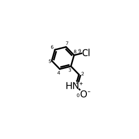 [O-][NH+]=Cc1ccccc1Cl